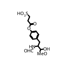 COC(O)C(Cc1ccc(OC(=O)CCS(=O)(=O)O)cc1)NC=O